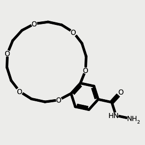 NNC(=O)c1ccc2c(c1)OCCOCCOCCOCCOCCO2